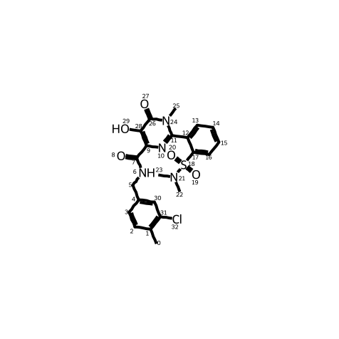 Cc1ccc(CNC(=O)c2nc(-c3ccccc3S(=O)(=O)N(C)C)n(C)c(=O)c2O)cc1Cl